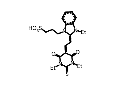 CCN1C(=O)C(=CC=C2N(CC)c3ccccc3N2CCCS(=O)(=O)O)C(=O)N(CC)C1=S